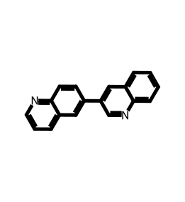 c1cnc2ccc(-c3cnc4ccccc4c3)cc2c1